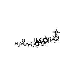 CC(C)(c1ccc(OCCCOC(N)=O)cc1)c1ccc(OCc2ccnc(N3CCC3)n2)cc1